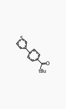 CC(C)(C)C(=O)c1ccc(-c2ccsc2)cc1